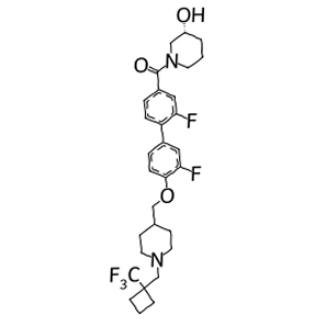 O=C(c1ccc(-c2ccc(OCC3CCN(CC4(C(F)(F)F)CCC4)CC3)c(F)c2)c(F)c1)N1CCC[C@@H](O)C1